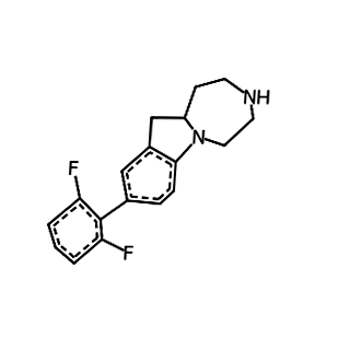 Fc1cccc(F)c1-c1ccc2c(c1)CC1CCNCCN21